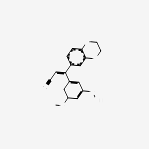 COC1=CC(OC)CC(C(=CC#N)c2ccc3c(c2)OCCO3)=C1